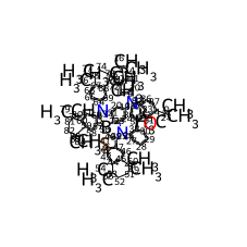 CC(C)(C)c1ccc(N(c2ccc(C(C)(C)C)cc2)c2cc3c4c(c2)N(c2cccc5oc6ccccc6c25)c2c(sc5cc6c(cc25)C(C)(C)CCC6(C)C)B4c2cc4c(cc2N3c2ccc3c(c2)C(C)(C)CCC3(C)C)C(C)(C)CCC4(C)C)cc1